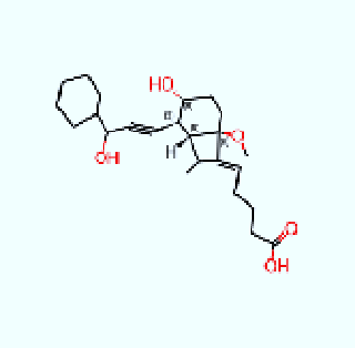 CO[C@]12CC[C@@H](O)[C@H](C#CC(O)C3CCCCC3)[C@H]1C(C)C2=CCCCC(=O)O